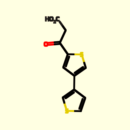 O=C(O)CC(=O)c1cc(-c2ccsc2)cs1